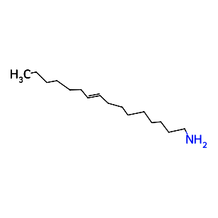 CCCCCCC=CCCCCCCCCN